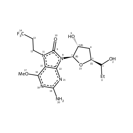 CCC(O)[C@@H]1C[C@@H](O)[C@H](n2c(=O)n(CCC(F)(F)F)c3c(OC)nc(N)nc32)O1